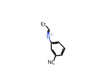 CC/C=N/c1cccc(C#N)c1